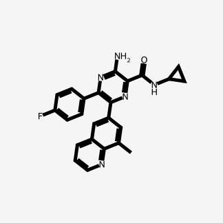 Cc1cc(-c2nc(C(=O)NC3CC3)c(N)nc2-c2ccc(F)cc2)cc2cccnc12